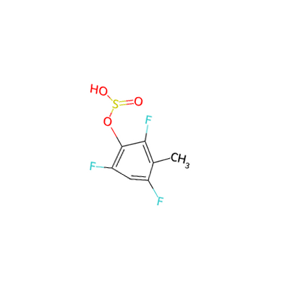 Cc1c(F)cc(F)c(OS(=O)O)c1F